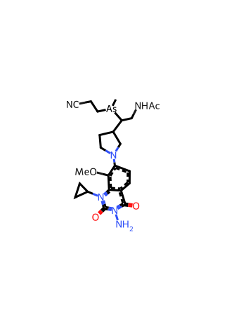 COc1c(N2CCC(C(CNC(C)=O)[As](C)CCC#N)C2)ccc2c(=O)n(N)c(=O)n(C3CC3)c12